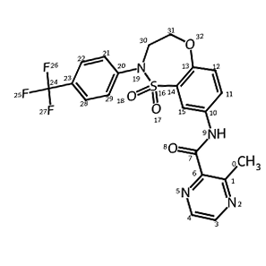 Cc1nccnc1C(=O)Nc1ccc2c(c1)S(=O)(=O)N(c1ccc(C(F)(F)F)cc1)CCO2